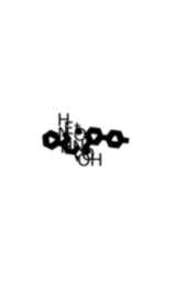 CCOc1ccc(-c2ccc(C)cc2)cc1C(=O)N[C@@H](CO)Cc1c[nH]c2ccccc12